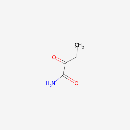 C=CC(=O)C(N)=O